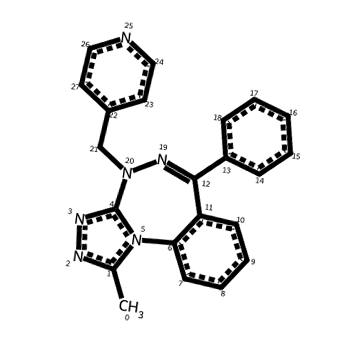 Cc1nnc2n1-c1ccccc1C(c1ccccc1)=NN2Cc1ccncc1